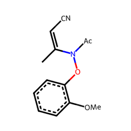 COc1ccccc1ON(C(C)=O)/C(C)=C\C#N